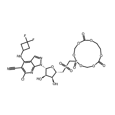 N#Cc1c(Cl)nc2c(cnn2[C@@H]2O[C@H](CS(=O)(=O)CP3(=O)OCOC(=O)OCCOC(=O)OCO3)[C@@H](O)[C@H]2O)c1NC1CC(F)(F)C1